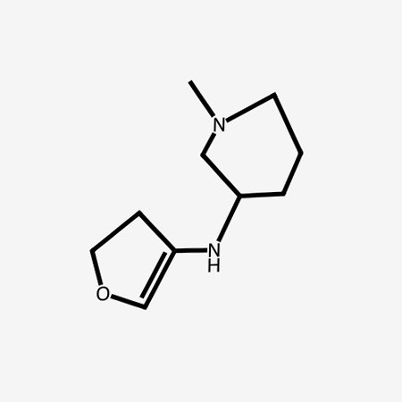 CN1CCCC(NC2=COCC2)C1